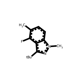 Cc1ccc2c(c(C(C)(C)C)nn2C)c1F